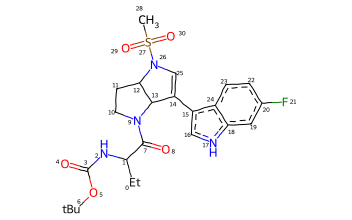 CCC(NC(=O)OC(C)(C)C)C(=O)N1CCC2C1C(c1c[nH]c3cc(F)ccc13)=CN2S(C)(=O)=O